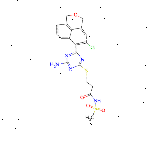 CS(=O)(=O)NC(=O)CCSc1nc(N)nc(-c2c(Cl)cc3c4c(cccc24)COC3)n1